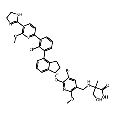 COc1nc(O[C@H]2CCc3c(-c4cccc(-c5ccc(C6=NCCN6)c(OC)n5)c4Cl)cccc32)c(Br)cc1CNC(C)(CO)C(=O)O